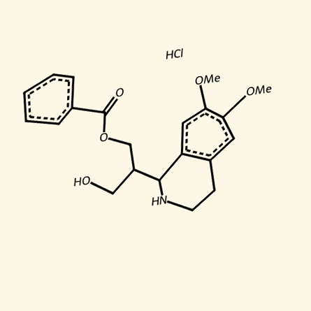 COc1cc2c(cc1OC)C(C(CO)COC(=O)c1ccccc1)NCC2.Cl